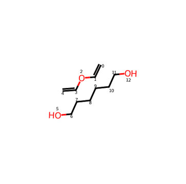 C=COC=C.OCCCCCCO